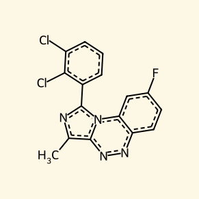 Cc1nc(-c2cccc(Cl)c2Cl)n2c1nnc1ccc(F)cc12